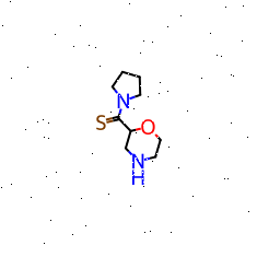 S=C(C1CNCCO1)N1CCCC1